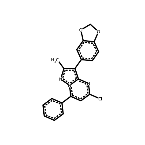 Cc1nn2c(-c3ccccc3)cc(Cl)nc2c1-c1ccc2c(c1)OCO2